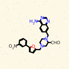 Nc1ncnc2cc(CN3CCN(Cc4ccc(-c5cccc([N+](=O)[O-])c5)o4)CC3C=O)ccc12